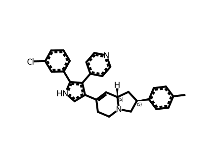 Cc1ccc([C@@H]2C[C@H]3C=C(c4c[nH]c(-c5cccc(Cl)c5)c4-c4ccncc4)CCN3C2)cc1